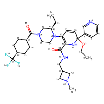 CCOC1(c2cccnc2)C=CC(N2CCN(C(=O)[C@H]3CC[C@@H](C(F)(F)F)CC3)C[C@H]2CC)=C(C(=O)NCC2CN(C)C2)N1